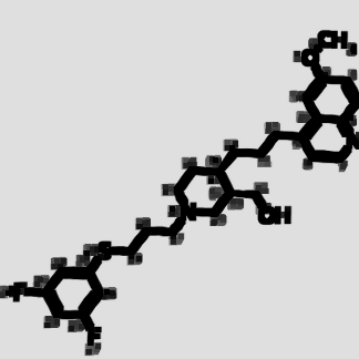 COc1ccc2nccc(CCC[C@@H]3CCN(CCCSc4cc(F)cc(F)c4)C[C@@H]3CO)c2c1